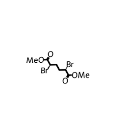 COC(=O)[C@H](Br)CC[C@H](Br)C(=O)OC